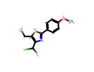 COc1ccc(-c2nc(C(F)F)c(CCl)s2)cc1